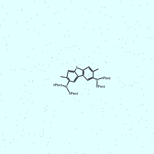 CCCCCN(CCCCC)c1cc2c(cc1C)sc1cc(C)c(N(CCCCC)CCCCC)cc12